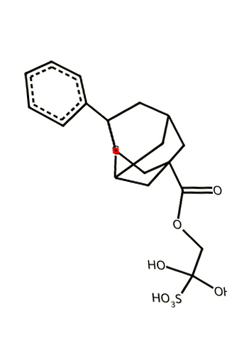 O=C(OCC(O)(O)S(=O)(=O)O)C12CCC3(c4ccccc4)CC(CC(C1)C3)C2